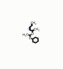 C=C/C=C\C(=C)OC(C)OC1CCCCC1